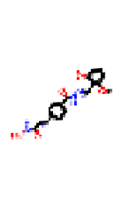 COc1cccc(OC)c1/C=N/NC(=O)c1ccc(/C=C/C(=O)NO)cc1